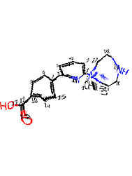 C[N+]1(c2cccc(-c3ccc(C(=O)O)cc3)n2)CCNCC1